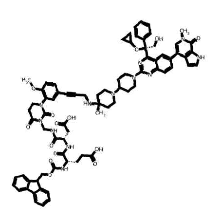 COc1ccc(C#CCNC2(C)CCN(C3CCN(c4nc([C@@](CO)(OC5CC5)c5ccccc5)c5cc(-c6cn(C)c(=O)c7[nH]ccc67)ccc5n4)CC3)CC2)cc1N1CCC(=O)N(CNC(=O)[C@H](CC(=O)O)NC(=O)[C@H](CCC(=O)O)NC(=O)OCC2c3ccccc3-c3ccccc32)C1=O